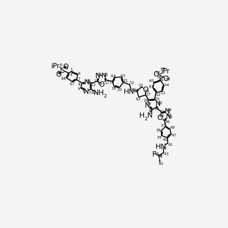 CC(C)S(=O)(=O)c1ccc(-c2cnc(N)c(-c3nnc(-c4ccc(CN[C@@H]5COC(c6nc(N)c(-c7nnc(-c8ccc(CNC[C@@H](C)F)cc8)o7)nc6-c6ccc(S(=O)(=O)C(C)C)cc6)C5)cc4)o3)n2)cc1